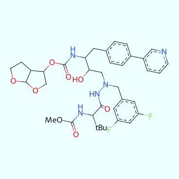 COC(=O)NC(C(=O)NN(Cc1cc(F)cc(F)c1)CC(O)C(Cc1ccc(-c2cccnc2)cc1)NC(=O)OC1COC2OCCC12)C(C)(C)C